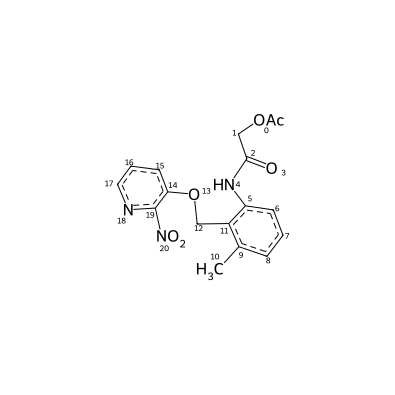 CC(=O)OCC(=O)Nc1cccc(C)c1COc1cccnc1[N+](=O)[O-]